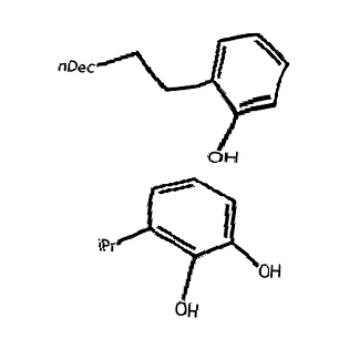 CC(C)c1cccc(O)c1O.CCCCCCCCCCCCc1ccccc1O